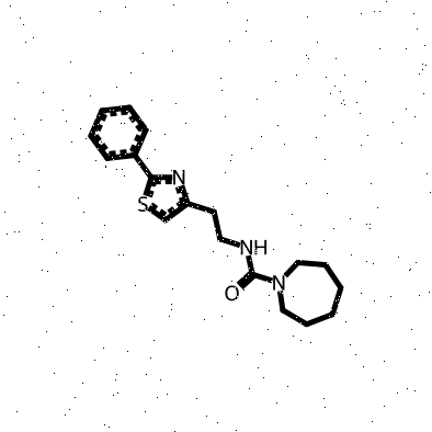 O=C(NCCc1csc(-c2ccccc2)n1)N1CCCCCC1